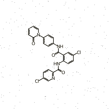 O=C(Nc1ccc(Cl)cc1C(=O)Nc1ccc(-n2ccccc2=O)cc1)c1ccc(Cl)cn1